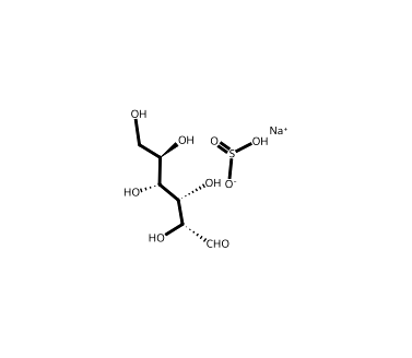 O=C[C@H](O)[C@@H](O)[C@H](O)[C@H](O)CO.O=S([O-])O.[Na+]